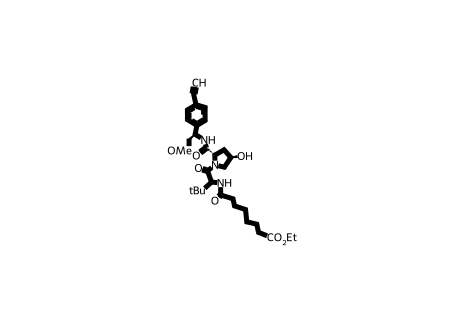 C#Cc1ccc([C@H](COC)NC(=O)[C@@H]2C[C@@H](O)CN2C(=O)C(NC(=O)CCCCCCC(=O)OCC)C(C)(C)C)cc1